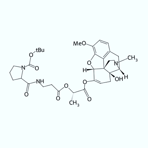 COc1ccc2c3c1O[C@H]1C(OC(=O)[C@H](C)OC(=O)CCNC(=O)C4CCCN4C(=O)OC(C)(C)C)=CC[C@@]4(O)[C@@H](C2)N(C)CC[C@]314